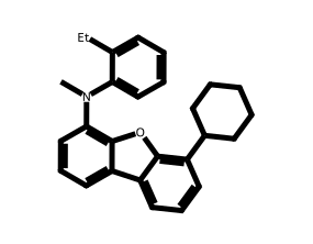 CCc1ccccc1N(C)c1cccc2c1oc1c(C3CCCCC3)cccc12